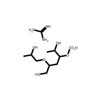 CC(O)COC(CO)CC(OC(=O)O)C(C)O.N=C(N)N